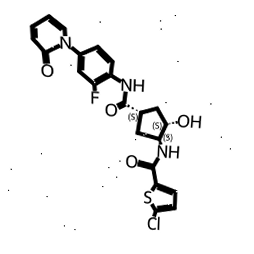 O=C(N[C@H]1C[C@H](C(=O)Nc2ccc(-n3ccccc3=O)cc2F)C[C@@H]1O)c1ccc(Cl)s1